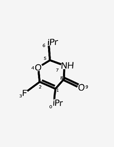 CC(C)C1=C(F)OC(C(C)C)NC1=O